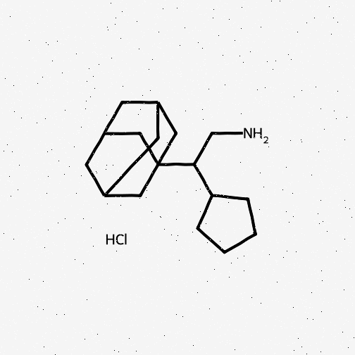 Cl.NCC(C1CCCC1)C12CC3CC(CC(C3)C1)C2